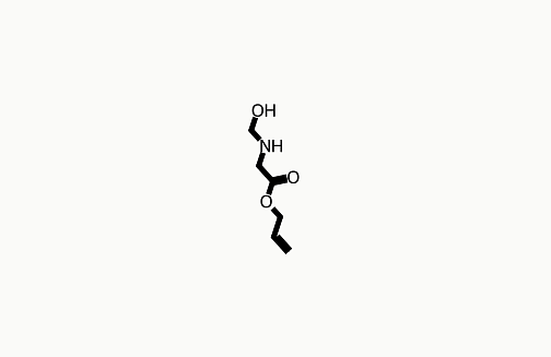 C=CCOC(=O)CNCO